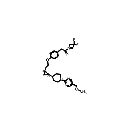 COCc1cnc(N2CCC([C@H]3C[C@H]3CCOc3ccc(CC(=O)N4CC(F)(F)C4)cc3)CC2)nc1